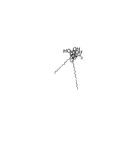 CCCCCCCCCCCCCCCCCCOC(=O)N(CCCCCCCCCCCCCC)[C@@H]1O[C@H](CO)[C@H](O)[C@H](O)[C@H]1N